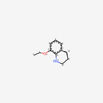 CCOc1cccc2c1NCCC2